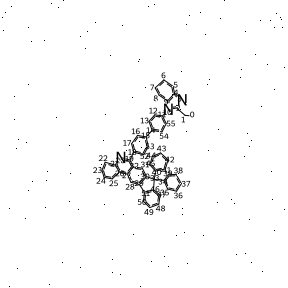 CCc1nc2ccccc2n1-c1ccc(-c2ccc(-c3nc4ccccc4c4cc5c(cc34)C(c3ccccc3)(c3ccccc3)c3ccccc3-5)cc2)cc1